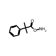 CC(C)(C(=O)ON)c1ccccc1